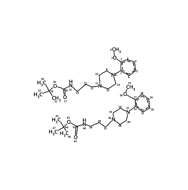 COc1ccccc1N1CCN(CCCNC(=O)OC(C)(C)C)CC1.COc1ccccc1N1CCN(CCCNC(=O)OC(C)(C)C)CC1